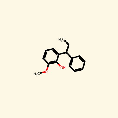 CCC(c1ccccc1)c1cccc(OC)c1O